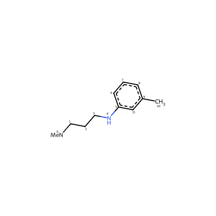 CNCCCNc1cccc(C)c1